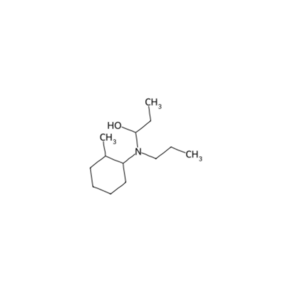 CCCN(C(O)CC)C1CCCCC1C